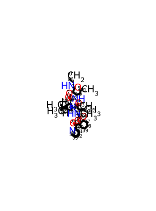 C=CCNC(=O)C(=O)C(CCC)NC(=O)[C@@H]1[C@@H]2[C@H](CN1C(=O)[C@@H](NC(=O)OC1(C(=O)c3ccccn3)CCCCC1)C(C)(C)C)C2(C)C